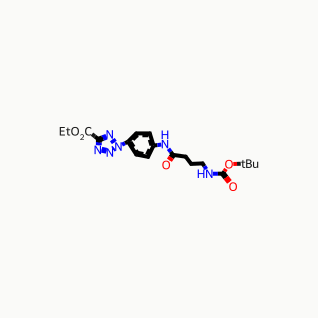 CCOC(=O)c1nnn(-c2ccc(NC(=O)CCCNC(=O)OC(C)(C)C)cc2)n1